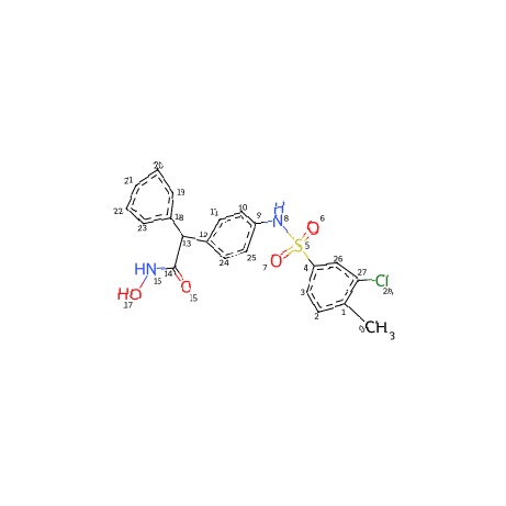 Cc1ccc(S(=O)(=O)Nc2ccc(C(C(=O)NO)c3ccccc3)cc2)cc1Cl